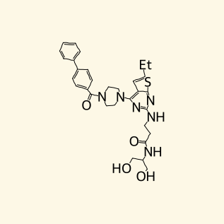 CCc1cc2c(N3CCN(C(=O)c4ccc(-c5ccccc5)cc4)CC3)nc(NCCC(=O)NC(CO)CO)nc2s1